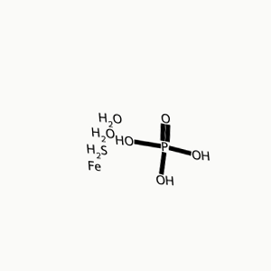 O.O.O=P(O)(O)O.S.[Fe]